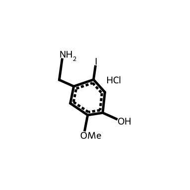 COc1cc(CN)c(I)cc1O.Cl